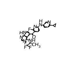 C[C@@H](Nc1ncnc2[nH]cc(C(=O)c3ccc(Nc4ccc(C5CC5)nc4)nc3F)c12)C(F)(F)F